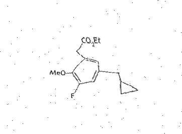 CCOC(=O)Cc1cc(CC2CC2)cc(F)c1OC